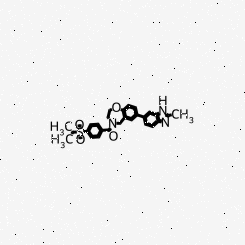 Cc1nc2ccc(-c3ccc4c(c3)CN(C(=O)c3ccc(S(=O)(=O)C(C)C)cc3)CCO4)cc2[nH]1